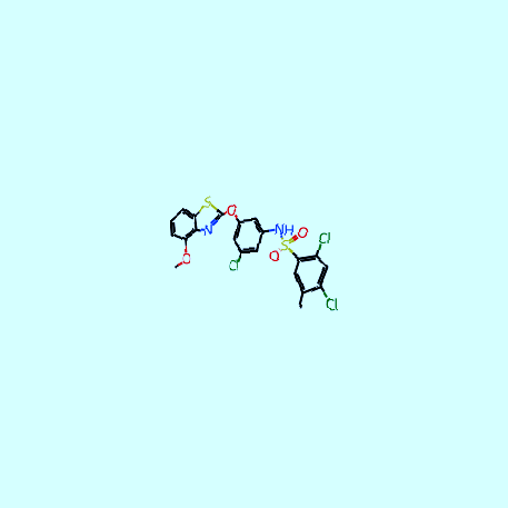 COc1cccc2sc(Oc3cc(Cl)cc(NS(=O)(=O)c4cc(C)c(Cl)cc4Cl)c3)nc12